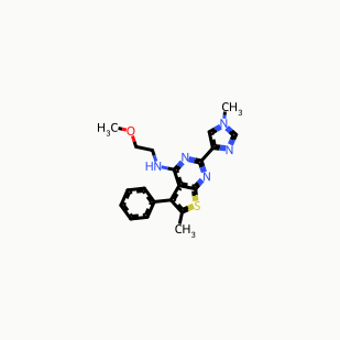 COCCNc1nc(-c2cn(C)cn2)nc2sc(C)c(-c3ccccc3)c12